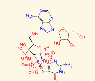 Nc1nc2c(ncn2[C@]2(P(=O)(O)O)O[C@H](CO)[C@](O)(P(=O)(O)O)[C@]2(OP(=O)(O)O)P(=O)(O)O)c(=O)[nH]1.Nc1ncnc2c1ncn2[C@@H]1O[C@H](CO)[C@@H](O)[C@H]1O